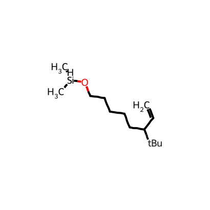 C=CC(CCCCCO[SiH](C)C)C(C)(C)C